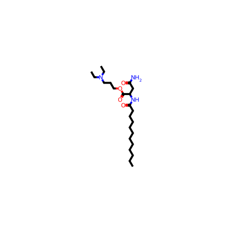 CCCCCCCCCCCC(=O)NC(CC(N)=O)C(=O)OCCCN(CC)CC